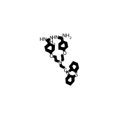 N=C(N)c1ccc(OCCN(CCCN2c3ccccc3Sc3ccccc32)CCOc2ccc(C(=N)N)cc2)cc1